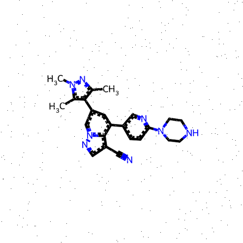 Cc1nn(C)c(C)c1-c1cc(-c2ccc(N3CCNCC3)nc2)c2c(C#N)cnn2c1